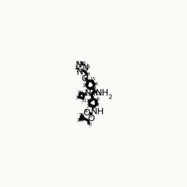 CC(OC(=O)Nc1ccc(-c2c(N)c3ccc(OCc4ncncn4)cc3n2C2CCC2)cc1)C1CC1